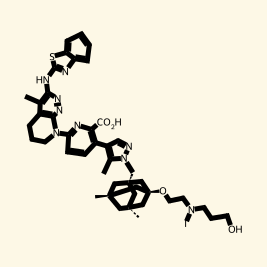 Cc1c(Nc2nc3ccccc3s2)nnc2c1CCCN2c1ccc(-c2cnn(C[C@]34C[C@]5(C)C[C@](C)(C3)C[C@@](OCCN(I)CCCO)(C5)C4)c2C)c(C(=O)O)n1